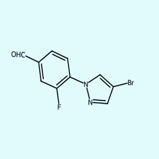 O=Cc1ccc(-n2cc(Br)cn2)c(F)c1